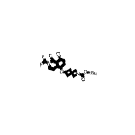 CC(C)(C)OC(=O)N1CC2(CC(Oc3ccc(Cl)c4c(=O)n(C(F)F)ccc34)C2)C1